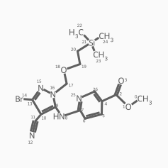 COC(=O)c1ccc(Nc2c(C#N)c(Br)nn2COCC[Si](C)(C)C)nc1